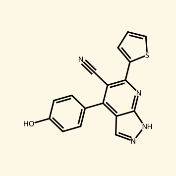 N#Cc1c(-c2cccs2)nc2[nH]ncc2c1-c1ccc(O)cc1